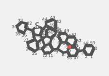 c1ccc(-c2ccc(CC(c3cccc4c3-c3ccccc3C43c4ccccc4-c4c(-c5ccccc5)sc(-c5ccccc5)c43)c3cccc4ccccc34)cc2)cc1